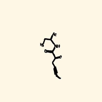 CC#CCC(=O)C(=O)NC(CS)C(C)=O